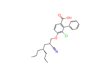 CCCC(CCC)CC(C#N)COc1ccc(C(=O)O)c(-c2ccccc2)c1Cl